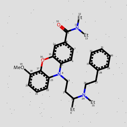 CCC(CCN1c2ccc(C(=O)N(CC)CC)cc2Oc2c(OC)cccc21)N(CC)CCc1ccccc1